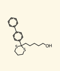 OCCCCCC1(c2ccc(-c3ccccc3)cc2)SCCCS1